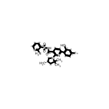 C[C@@H]1CN(c2nc(-c3ccc(F)cc3O)ccc2C(=O)NS(=O)(=O)c2cccnc2N)C(C)(C)C1